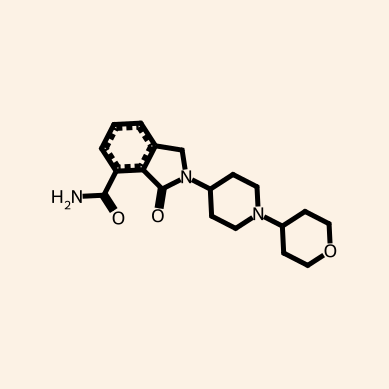 NC(=O)c1cccc2c1C(=O)N(C1CCN(C3CCOCC3)CC1)C2